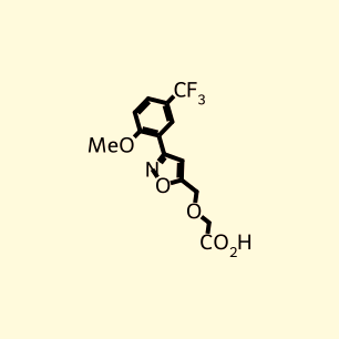 COc1ccc(C(F)(F)F)cc1-c1cc(COCC(=O)O)on1